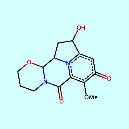 COc1c2n3c(cc1=O)C(O)CC3C1OCCCN1C2=O